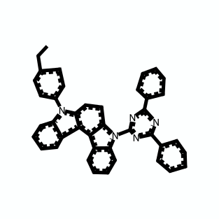 CCc1ccc(-n2c3ccccc3c3c4c5ccccc5n(-c5nc(-c6ccccc6)nc(-c6ccccc6)n5)c4ccc32)cc1